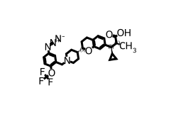 C[C@H](C(=O)O)[C@H](c1ccc2c(c1)O[C@H](C1CCN(Cc3cc(N=[N+]=[N-])ccc3OC(F)(F)F)CC1)CC2)C1CC1